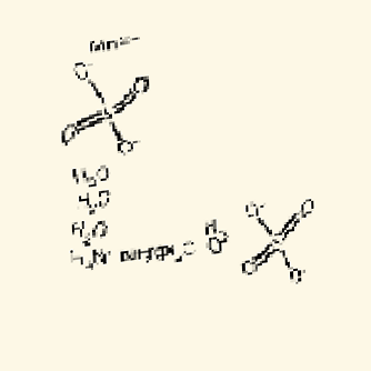 O.O.O.O.O.O.O=S(=O)([O-])[O-].O=S(=O)([O-])[O-].[Mn+2].[NH4+].[NH4+]